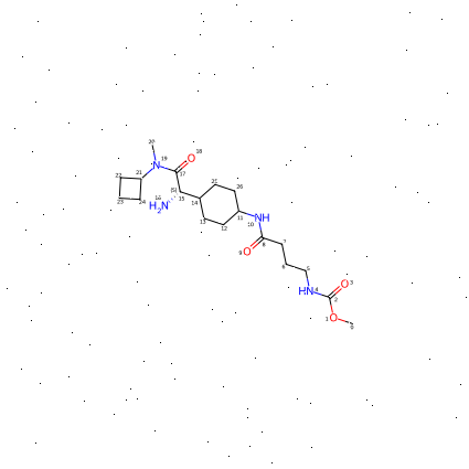 COC(=O)NCCCC(=O)NC1CCC([C@H](N)C(=O)N(C)C2CCC2)CC1